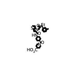 CCN(C(=O)Cn1c(C(=O)N[C@H]2CC[C@H](C(=O)N3CCC(C(=O)O)CC3)CC2)cc2sccc21)c1cccc(C)c1